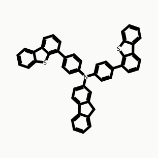 c1ccc2c(c1)Cc1cc(N(c3ccc(-c4cccc5c4sc4ccccc45)cc3)c3ccc(-c4cccc5c4sc4ccccc45)cc3)ccc1-2